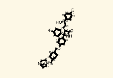 O=C1N[C@](c2ccc(F)cc2)(c2ccc(OCc3ccc(C[N+]45CCN(CC4)CC5)cc3)cc2)[C@H]1CC[C@H](O)c1ccc(F)cc1